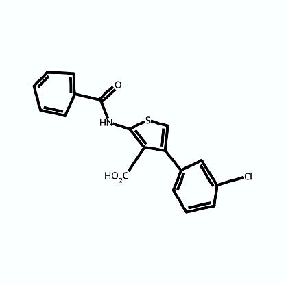 O=C(Nc1scc(-c2cccc(Cl)c2)c1C(=O)O)c1ccccc1